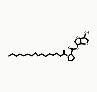 C=C(CCCCCCCCCCCCCCC)N1CCCC1C(=O)OC1COC2C(O)COC12